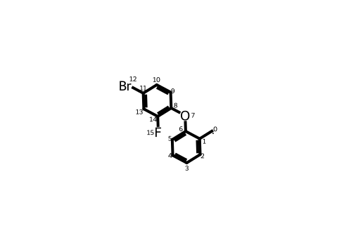 [CH2]c1ccccc1Oc1ccc(Br)cc1F